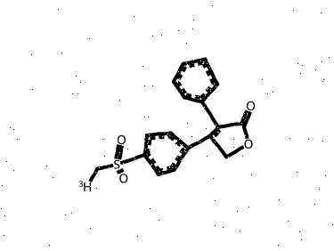 [3H]CS(=O)(=O)c1ccc(C2=C(c3ccccc3)C(=O)OC2)cc1